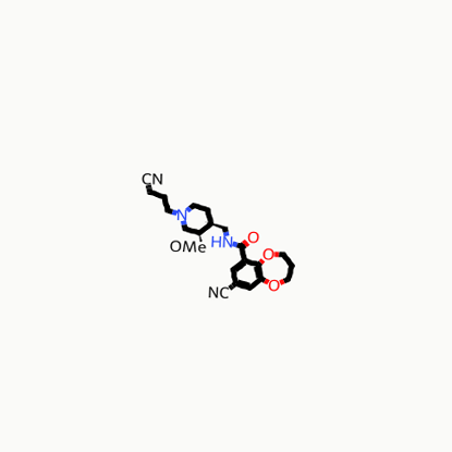 CO[C@@H]1CN(CCCC#N)CC[C@H]1CNC(=O)c1cc(C#N)cc2c1OCCCO2